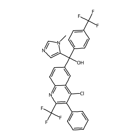 Cn1cncc1C(O)(c1ccc(C(F)(F)F)cc1)c1ccc2nc(C(F)(F)F)c(-c3ccccc3)c(Cl)c2c1